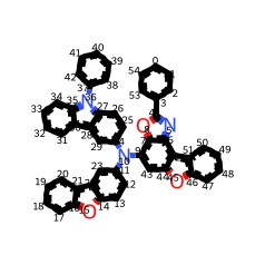 c1ccc(-c2nc3c(o2)c(N(c2ccc4oc5ccccc5c4c2)c2ccc4c(c2)c2ccccc2n4-c2ccccc2)cc2oc4ccccc4c23)cc1